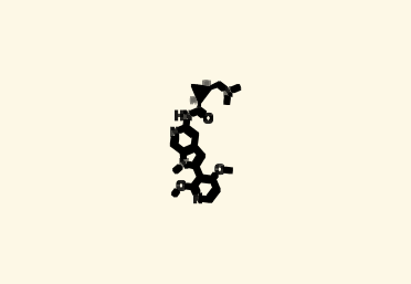 COc1ccnc(OC)c1-c1cc2cc(NC(=O)[C@@H]3C[C@H]3CN(C)C)ncc2n1C